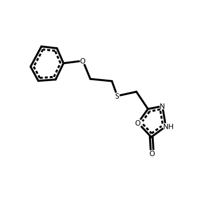 O=c1[nH]nc(CSCCOc2ccccc2)o1